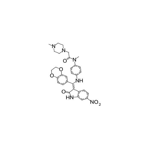 CN1CCN(CC(=O)N(C)c2ccc(NC(=C3C(=O)Nc4cc([N+](=O)[O-])ccc43)c3ccc4c(c3)OCCO4)cc2)CC1